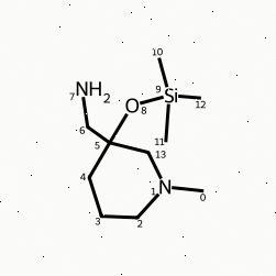 CN1CCCC(CN)(O[Si](C)(C)C)C1